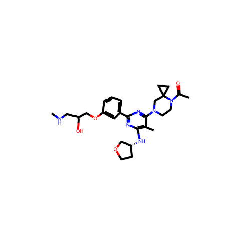 CNCC(O)COc1cccc(-c2nc(N[C@@H]3CCOC3)c(C)c(N3CCN(C(C)=O)C4(CC4)C3)n2)c1